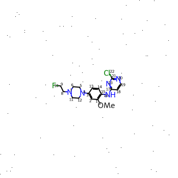 COc1cc(N2CCN(CCF)CC2)ccc1Nc1ccnc(Cl)n1